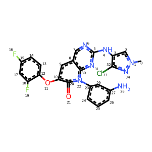 Cn1cc(Nc2ncc3cc(Oc4ccc(F)cc4F)c(=O)n(-c4cccc(N)c4)c3n2)c(Cl)n1